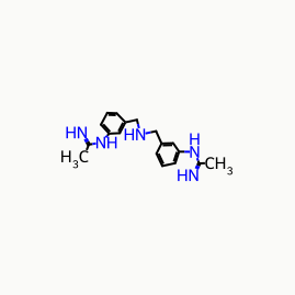 CC(=N)Nc1cccc(CNCc2cccc(NC(C)=N)c2)c1